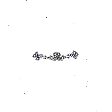 C(=C\c1ccc(-c2ccc3c(c2)c2ccccc2n3-c2cccc3ccccc23)cc1)/c1ccc(-c2ccc3c(c2)C(c2ccccc2)(c2ccccc2)c2cc(-c4ccc(/C=C/c5ccc(-c6ccc7c(c6)c6ccccc6n7-c6cccc7ccccc67)cc5)cc4)ccc2-3)cc1